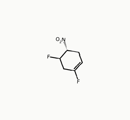 O=[N+]([O-])[C@@H]1CC=C(F)CC1F